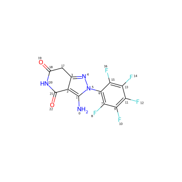 Nc1c2c(nn1-c1c(F)c(F)c(F)c(F)c1F)CC(=O)NC2=O